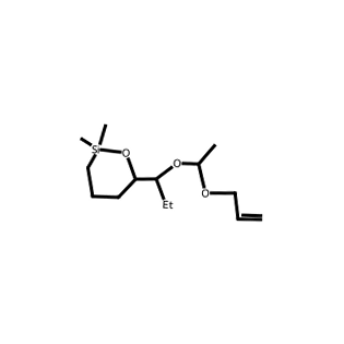 C=CCOC(C)OC(CC)C1CCC[Si](C)(C)O1